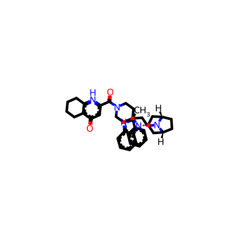 Cc1nc2ccccc2n1[C@H]1C[C@H]2CC[C@@H](C1)N2CCC1(c2ccccc2)CCN(C(=O)c2cc(=O)c3c([nH]2)CCCC3)CC1